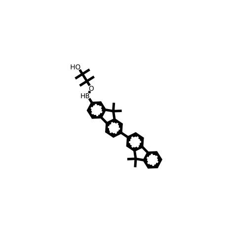 CC1(C)c2ccccc2-c2ccc(-c3ccc4c(c3)C(C)(C)c3cc(BOC(C)(C)C(C)(C)O)ccc3-4)cc21